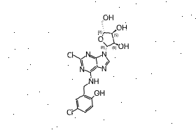 OC[C@H]1O[C@@H](n2cnc3c(NCc4cc(Cl)ccc4O)nc(Cl)nc32)[C@H](O)[C@@H]1O